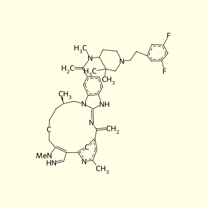 C=C1/N=C2\Nc3ccc(C(=C)N(C)C4CCN(CCc5cc(F)cc(F)c5)CC4(C)C)cc3N2C[C@H](C)CCCC/C(NC)=C(/C=N)c2cc1cc(C)n2